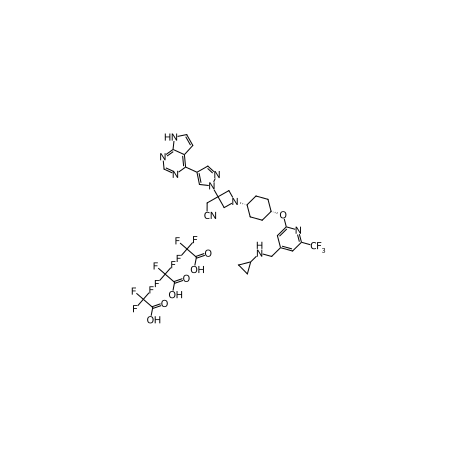 N#CCC1(n2cc(-c3ncnc4[nH]ccc34)cn2)CN([C@H]2CC[C@@H](Oc3cc(CNC4CC4)cc(C(F)(F)F)n3)CC2)C1.O=C(O)C(F)(F)F.O=C(O)C(F)(F)F.O=C(O)C(F)(F)F